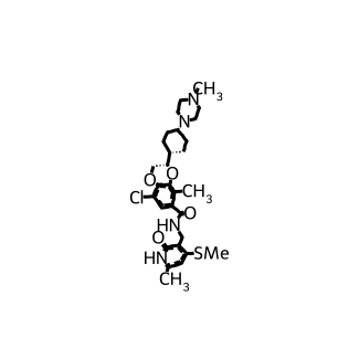 CSc1cc(C)[nH]c(=O)c1CNC(=O)c1cc(Cl)c2c(c1C)O[C@@H]([C@H]1CC[C@@H](N3CCN(C)CC3)CC1)CO2